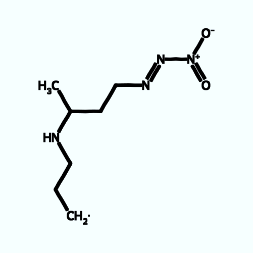 [CH2]CCNC(C)CCN=N[N+](=O)[O-]